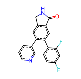 O=C1NCc2cc(-c3cccnc3)c(-c3ccc(F)cc3F)cc21